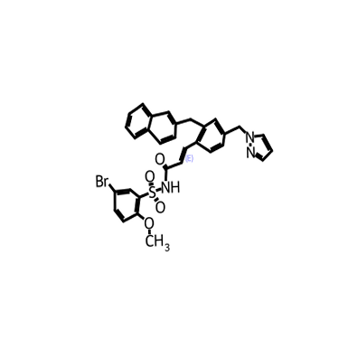 COc1ccc(Br)cc1S(=O)(=O)NC(=O)/C=C/c1ccc(Cn2cccn2)cc1Cc1ccc2ccccc2c1